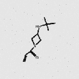 C=CC(=O)N1CC(NC(C)(C)C)C1